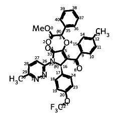 COC(=O)[C@H](OC1=C(C(=O)c2ccc(C)cc2)[C@@H](c2ccc(OC(F)(F)F)cc2)N(c2ccc(C)nn2)C1=O)c1ccccc1